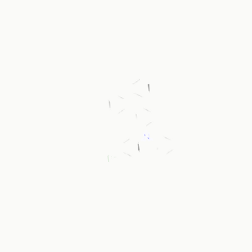 Brc1ccc(N(c2ccccc2)c2cccc(-c3ccccc3-c3ccccc3)c2)cc1